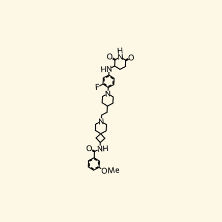 COc1cccc(C(=O)NC2CC3(CCN(CCC4CCN(c5ccc(NC6CCC(=O)NC6=O)cc5F)CC4)CC3)C2)c1